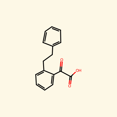 O=C(O)C(=O)c1ccccc1CCc1ccccc1